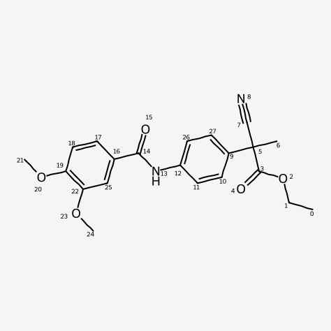 CCOC(=O)C(C)(C#N)c1ccc(NC(=O)c2ccc(OC)c(OC)c2)cc1